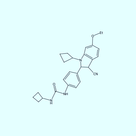 CCOc1ccc2c(c1)N(C1CCC1)C(c1ccc(NC(=O)NC3CCC3)cc1)C2C#N